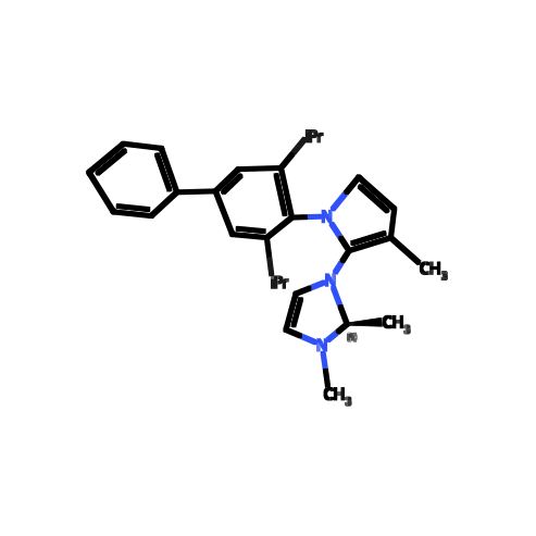 Cc1ccn(-c2c(C(C)C)cc(-c3ccccc3)cc2C(C)C)c1N1C=CN(C)[C@@H]1C